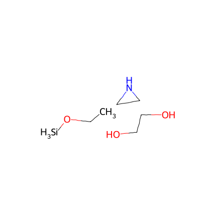 C1CN1.CCO[SiH3].OCCO